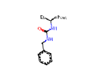 CCCCCC(CC)NC(=O)NCc1ccccc1